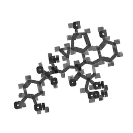 Cc1cc(S(=O)(=O)N(S)CC(C2CC2)N2C(=O)C(C)(CC(=O)O)CC(c3cccc(Cl)c3)C2c2ccc(Cl)cc2)ccc1Cl